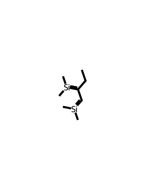 CCC(C=[Si](C)C)=[Si](C)C